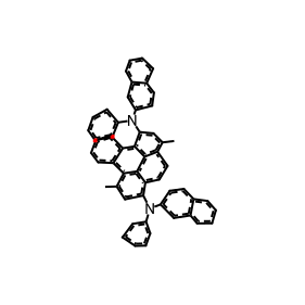 Cc1cc(N(c2ccccc2)c2ccc3ccccc3c2)c2c3ccccc3c3c(C)cc(N(c4ccccc4)c4ccc5ccccc5c4)c4ccc1c2c43